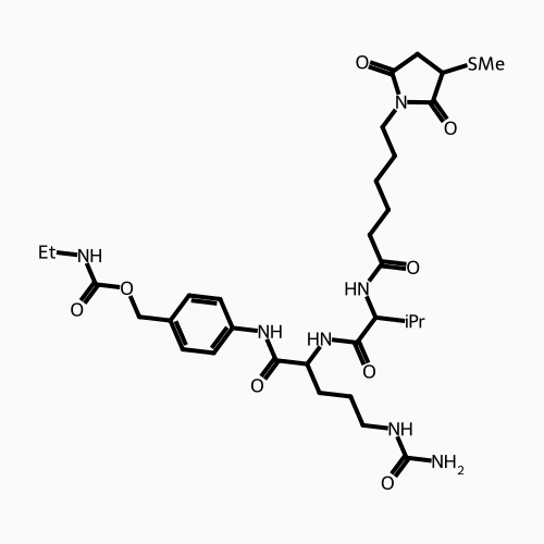 CCNC(=O)OCc1ccc(NC(=O)C(CCCNC(N)=O)NC(=O)C(NC(=O)CCCCCN2C(=O)CC(SC)C2=O)C(C)C)cc1